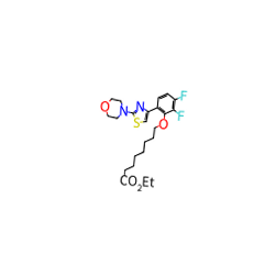 CCOC(=O)CCCCCCCOc1c(-c2csc(N3CCOCC3)n2)ccc(F)c1F